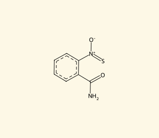 NC(=O)c1ccccc1[N+]([O-])=S